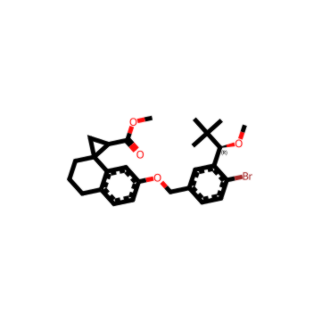 COC(=O)C1CC12CCCc1ccc(OCc3ccc(Br)c([C@H](OC)C(C)(C)C)c3)cc12